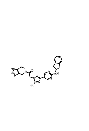 CCc1nc(-c2cnc(NC3Cc4ccccc4C3)nc2)cn1CC(=O)N1CCc2[nH]nnc2C1